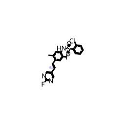 Cc1cc(NS(=O)(=O)c2ccccc2Cl)c(F)cc1/C=C/c1cnc(F)nc1